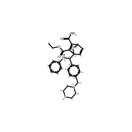 CCOC(=O)C1=C(C(N)=O)C2C=CC1(C(Nc1ccccc1)c1ccc(CN3CCOCC3)cc1)O2